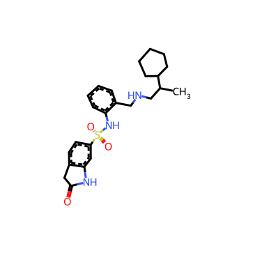 CC(CNCc1ccccc1NS(=O)(=O)c1ccc2c(c1)NC(=O)C2)C1CCCCC1